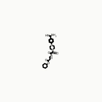 Cl.Cl.Cl.N=C(N)c1ccc(N2CCN(CC(=O)NCCC(=O)OC3CCCCC3)CC2)cc1